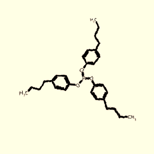 CCCCc1ccc(OP(Oc2ccc(CCCC)cc2)Oc2ccc(CCCC)cc2)cc1